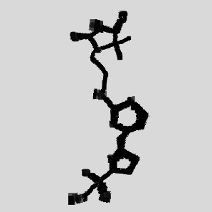 CCCC(C)S(=O)(=O)c1ccc(-c2ccnc(NCCN3C(=O)NC(=O)C3(C)C)n2)s1